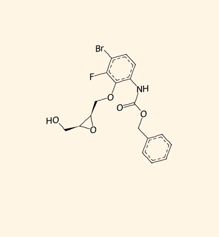 O=C(Nc1ccc(Br)c(F)c1OC[C@H]1O[C@H]1CO)OCc1ccccc1